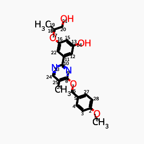 COc1ccc(COc2nc(-c3cc(O)cc(O[C@@H](C)CO)c3)ncc2C)cc1